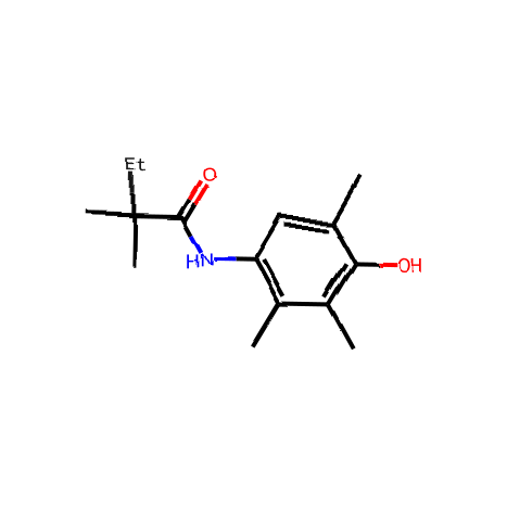 CCC(C)(C)C(=O)Nc1cc(C)c(O)c(C)c1C